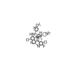 CC(C)Oc1ccc(C(Nc2cc(Cl)c3ncc(C#N)c(Nc4ccc(F)c(Cl)c4)c3c2)/C(N)=C/NC2CCN(C(C)(C)C)CC2)cn1